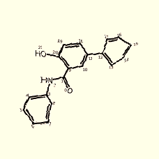 O=C(Nc1ccccc1)c1cc(-c2ccccc2)ccc1O